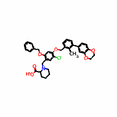 Cc1c(COc2cc(OCc3ccccc3)c(CN3CCCCC3C(=O)O)cc2Cl)cccc1-c1ccc2c(c1)OCCO2